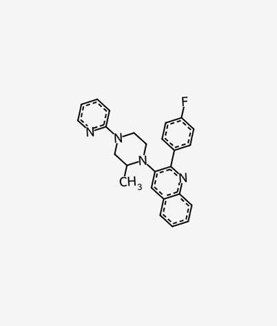 CC1CN(c2ccccn2)CCN1c1cc2ccccc2nc1-c1ccc(F)cc1